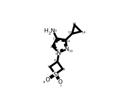 Nc1cn(C2CS(=O)(=O)C2)nc1C1CC1